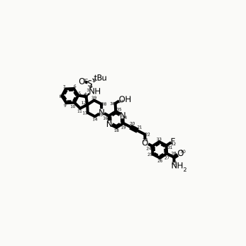 CC(C)(C)[S+]([O-])N[C@@H]1c2ccccc2CC12CCN(c1ncc(C#CCOc3ccc(C(N)=O)c(F)c3)nc1CO)CC2